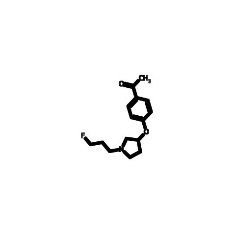 CC(=O)c1ccc(OC2CCN(CCCF)C2)cc1